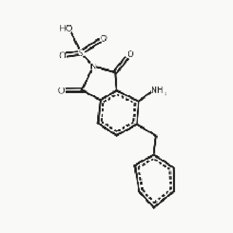 Nc1c(Cc2ccccc2)ccc2c1C(=O)N(S(=O)(=O)O)C2=O